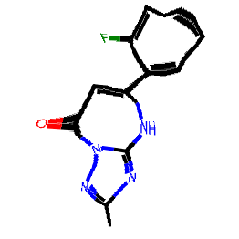 Cc1nc2[nH]c(-c3ccccc3F)cc(=O)n2n1